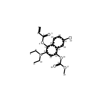 C=CC(=O)Oc1c(N(CC)CC)cc(OC(=O)OC)c2cc(Cl)ccc12